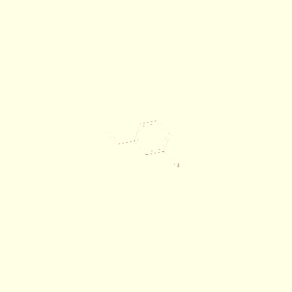 C=Cc1ccnc(N)c1